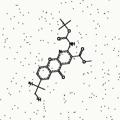 [2H]CC([2H])(C)c1ccc2oc3nc(NC(=O)OC(C)(C)C)c(C(=O)OC)cc3c(=O)c2c1